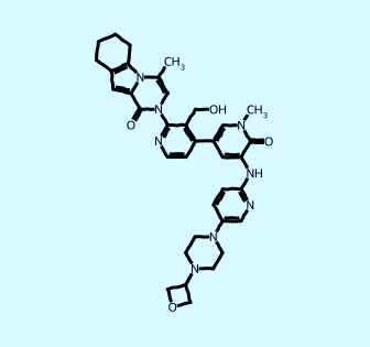 Cc1cn(-c2nccc(-c3cc(Nc4ccc(N5CCN(C6COC6)CC5)cn4)c(=O)n(C)c3)c2CO)c(=O)c2cc3c(n12)CCCC3